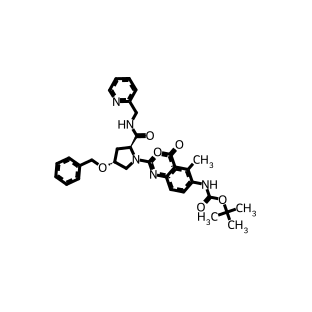 Cc1c(NC(=O)OC(C)(C)C)ccc2nc(N3C[C@H](OCc4ccccc4)C[C@H]3C(=O)NCc3ccccn3)oc(=O)c12